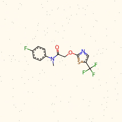 CN(C(=O)COc1ncc(C(F)(F)F)s1)c1ccc(F)cc1